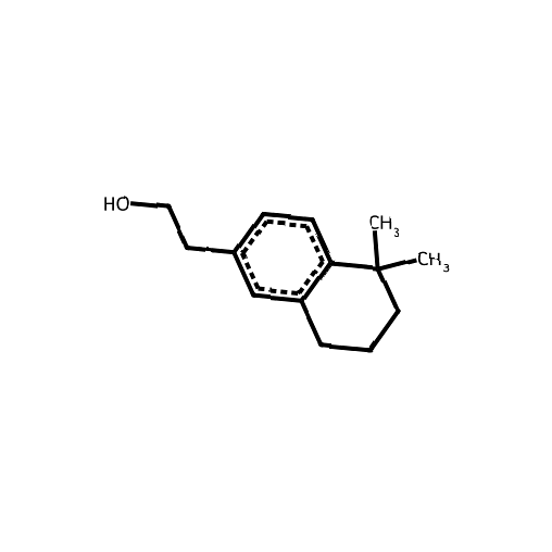 CC1(C)CCCc2cc(CCO)ccc21